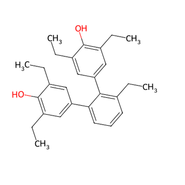 CCc1cc(-c2cccc(CC)c2-c2cc(CC)c(O)c(CC)c2)cc(CC)c1O